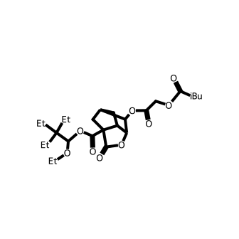 CCOC(OC(=O)C12CC3CC1C(OC2=O)C3OC(=O)COC(=O)C(C)CC)C(CC)(CC)CC